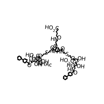 CC(=O)N[C@H]1[C@H]([C@H](O)[C@H](O)CNC(=O)c2ccc(-c3ccccc3)cc2)O[C@@](OCCCSCCNC(=O)c2ccc(C(=O)NCCSCCCO[C@]3(C(=O)O)C[C@H](O)C[C@H]([C@H](O)[C@H](O)CNC(=O)c4ccc(-c5ccccc5)cc4)O3)cc2OCCCNC(=O)CCCCC(=O)O)(C(=O)O)C[C@@H]1O